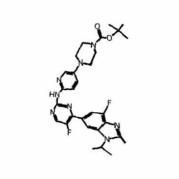 Cc1nc2c(F)cc(-c3nc(Nc4ccc(N5CCN(C(=O)OC(C)(C)C)CC5)cn4)ncc3F)cc2n1C(C)C